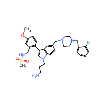 COc1ccc(-c2cn(CCCN)c3ccc(CN4CCN(Cc5ccccc5Cl)CC4)cc23)c(CNS(C)(=O)=O)c1